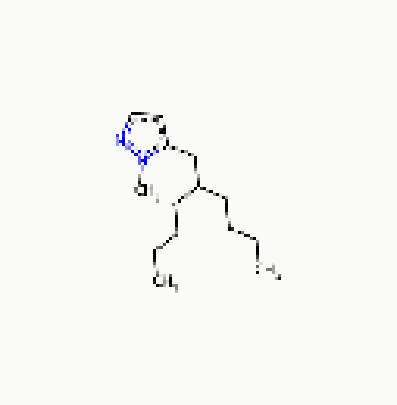 CCCCC(CCCC)Cc1ccnn1C